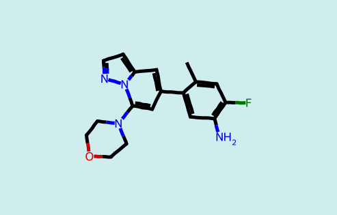 Cc1cc(F)c(N)cc1-c1cc(N2CCOCC2)n2nccc2c1